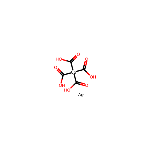 O=[C](O)[Co]([C](=O)O)([C](=O)O)[C](=O)O.[Ag]